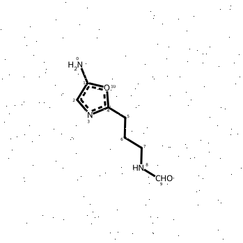 Nc1cnc(CCCN[C]=O)o1